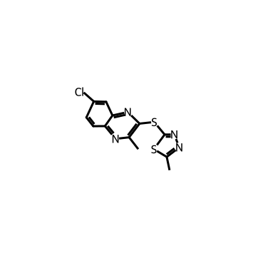 Cc1nnc(Sc2nc3cc(Cl)ccc3nc2C)s1